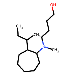 CCC(C)C1CCCCCC1N(C)CCCCO